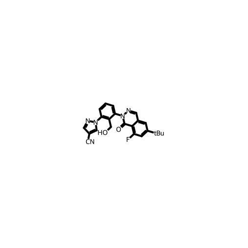 CC(C)(C)c1cc(F)c2c(=O)n(-c3cccc(-n4cc(C#N)cn4)c3CO)ncc2c1